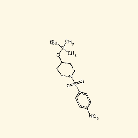 CC(C)(C)[Si](C)(C)OC1CCN(S(=O)(=O)c2ccc([N+](=O)[O-])cc2)CC1